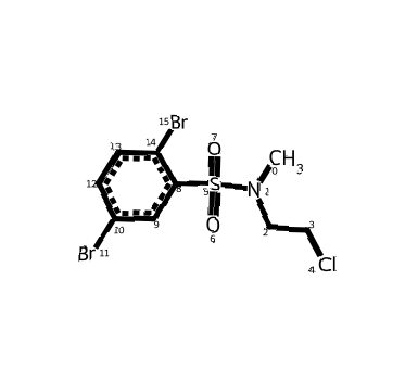 CN(CCCl)S(=O)(=O)c1cc(Br)ccc1Br